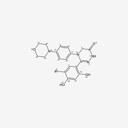 CC(C)c1cc(C2=NNC(=O)CN2c2ccc(N3CCOCC3)cc2)c(O)cc1O